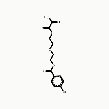 C=C(C)C(=O)OCCOCCOC(=O)c1ccc(O)cc1